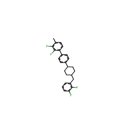 Cc1ccc(-c2ccc(C3CCC(Cc4cccc(F)c4F)CC3)cc2)c(F)c1F